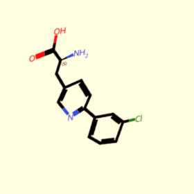 N[C@@H](Cc1ccc(-c2cccc(Cl)c2)nc1)C(=O)O